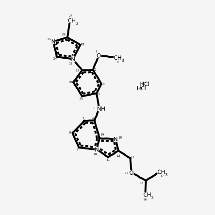 COc1cc(Nc2cccn3cc(COC(C)C)nc23)ccc1-n1cnc(C)c1.Cl.Cl